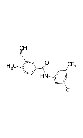 C#Cc1cc(C(=O)Nc2cc(Cl)cc(C(F)(F)F)c2)ccc1C